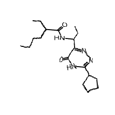 CCCCC(CC)C(=O)NC(CC)c1nnc(C2CCCC2)[nH]c1=O